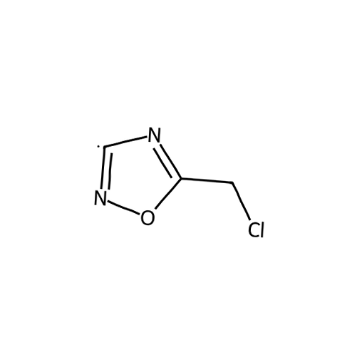 ClCc1n[c]no1